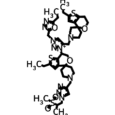 CCc1nnc(Cn2cc(CN3CCC4(CC3)OCCc3sc(CC)cc34)[n+](C3COC4(CCN(Cc5cn(CC(C)S(C)(=O)=O)nn5)CC4)c4cc(CC)sc43)n2)o1